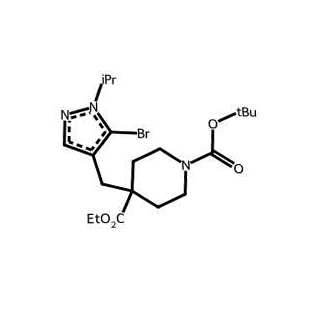 CCOC(=O)C1(Cc2cnn(C(C)C)c2Br)CCN(C(=O)OC(C)(C)C)CC1